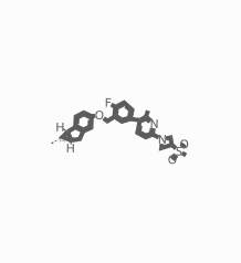 Cc1nc(N2CC(S(C)(=O)=O)C2)ccc1-c1ccc(F)c(COc2ccc3c(c2)C[C@H]2[C@H](C)[C@@H]32)c1